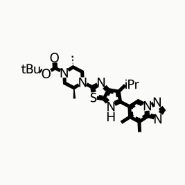 Cc1c(-c2[nH]c3sc(N4C[C@@H](C)N(C(=O)OC(C)(C)C)C[C@@H]4C)nc3c2C(C)C)cn2ncnc2c1C